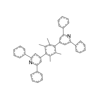 Cc1c(C)c(-c2cc(-c3ccccc3)nc(-c3ccccc3)c2)c(C)c(C)c1-c1cc(-c2ccccc2)nc(-c2ccccc2)c1